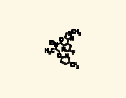 CCN(C(=O)c1ncc(F)cc1-c1ccn(C)n1)[C@@H](C)COc1ccc(C(F)(F)F)cn1